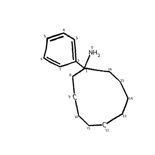 NC1(c2ccccc2)CCCCCCCCC1